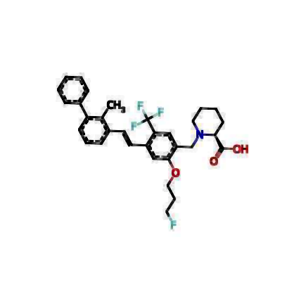 Cc1c(/C=C/c2cc(OCCCF)c(CN3CCCC[C@H]3C(=O)O)cc2C(F)(F)F)cccc1-c1ccccc1